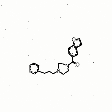 O=C(c1ccc2occc2c1)N1CCN(CCCc2ccccc2)CC1